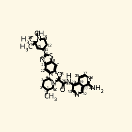 C[C@H]1CC[C@H](c2ccc3sc([C@@H]4CCN(C)C(C)(C)C4)nc3c2)N(C(=O)C(=O)Nc2cncc3c(N)nccc23)C1